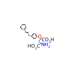 NC(CC(Oc1ccc(C/C=C/c2ccccc2)cc1)C(=O)O)C(=O)O